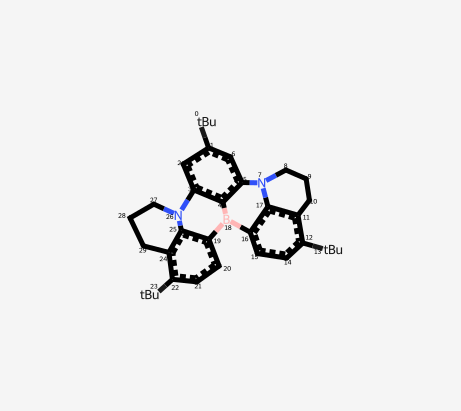 CC(C)(C)c1cc2c3c(c1)N1CCCc4c(C(C)(C)C)ccc(c41)B3c1ccc(C(C)(C)C)c3c1N2CCC3